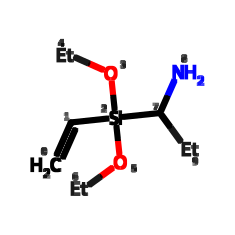 C=C[Si](OCC)(OCC)C(N)CC